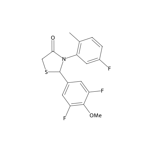 COc1c(F)cc(C2SCC(=O)N2c2cc(F)ccc2C)cc1F